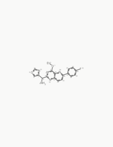 CCOc1nc(C(N)c2cocn2)nc2ccc(-c3ccc(F)cc3)nc12